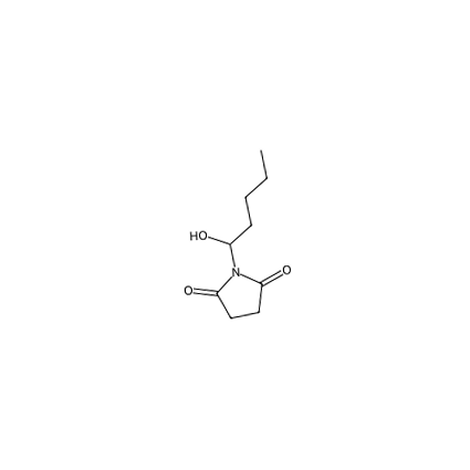 CCCCC(O)N1C(=O)CCC1=O